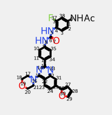 CC(=O)Nc1ccc(NC(=O)Nc2ccc(-c3nc(N4CCOCC4)c4ccc(-c5ccco5)cc4n3)cc2)c(F)c1